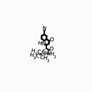 CC(C)(C)NC[C@@H](C(N)=O)c1cc(=O)c2cc(C#N)ccc2[nH]1